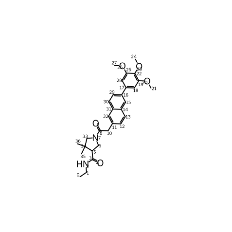 CCNC(=O)C1CN(C(=O)Cc2ccc3cc(-c4cc(OC)c(OC)c(OC)c4)ccc3c2)CC1(C)C